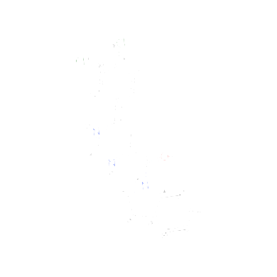 O=C(c1cc(-c2ccc(Cl)c(Cl)c2)ncn1)N1CCc2ccccc21